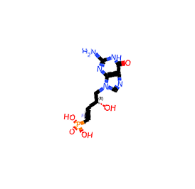 Nc1nc2c(ncn2C[C@H](O)/C=C/P(=O)(O)O)c(=O)[nH]1